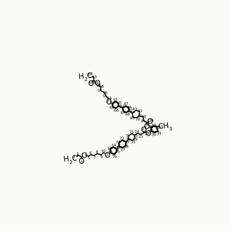 C=CC(=O)OCCCCCCOc1ccc(-c2ccc(C3CCC(CCC(=O)Oc4ccc(C)cc4OC(=O)CCC4CCC(c5ccc(-c6ccc(OCCCCCCOC(=O)C=C)cc6)cc5)CC4)CC3)cc2)cc1